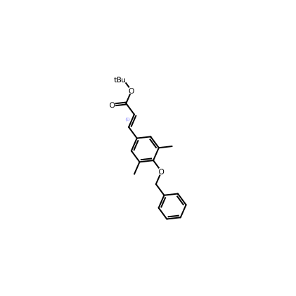 Cc1cc(/C=C/C(=O)OC(C)(C)C)cc(C)c1OCc1ccccc1